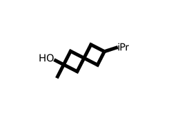 CC(C)C1CC2(C1)CC(C)(O)C2